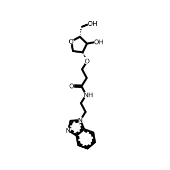 O=C(CCO[C@@H]1CO[C@H](CO)C1O)NCCn1cnc2ccccc21